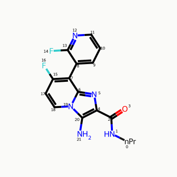 CCCNC(=O)c1nc2c(-c3cccnc3F)c(F)ccn2c1N